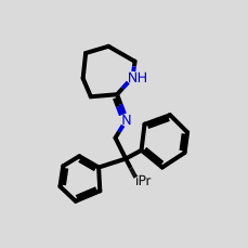 CC(C)C(CN=C1CCCCCN1)(c1ccccc1)c1ccccc1